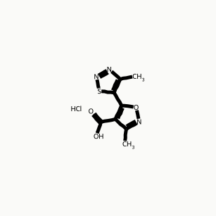 Cc1nnsc1-c1onc(C)c1C(=O)O.Cl